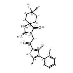 Cc1ccccc1-c1c(C)sc(C(=O)CN2C(=O)NC3(CCC(F)(F)CC3)C2=O)c1C